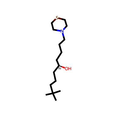 CC(C)(C)CCC[C@H](O)CCCCN1CCSCC1